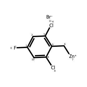 Fc1cc(Cl)c([CH2][Zn+])c(Cl)c1.[Br-]